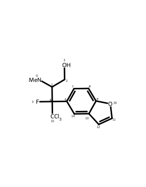 CNC(CO)C(F)(c1ccc2occc2c1)C(Cl)(Cl)Cl